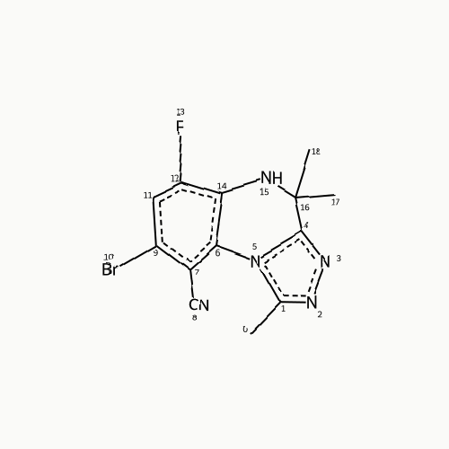 Cc1nnc2n1-c1c(C#N)c(Br)cc(F)c1NC2(C)C